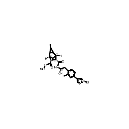 CCn1cc(-c2ccc(C[C@@H](C#N)NC(=O)[C@@H]3[C@@H]4C[C@@H](C5C(C)C54)N3C(=O)OC(C)(C)C)c(F)c2)cn1